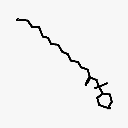 CCCCCCCCCCCCCCCCCCCCCCCC(=O)OC(C)(C)C1CCNCC1